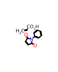 C=CC(=O)O.O=C1C=CC(=O)N1c1ccccc1